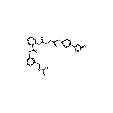 O=C(CCC(=O)Oc1ccccc1C(=O)Oc1cccc(CO[N+](=O)[O-])c1)Oc1ccc(-c2cc(=S)ss2)cc1